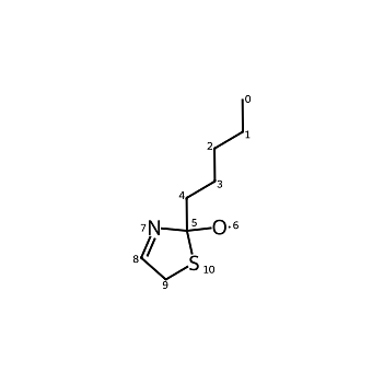 CCCCCC1([O])N=CCS1